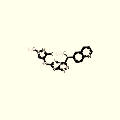 Cc1nn(C)cc1Nc1nn2c([C@@H](C)c3ccc4ncccc4c3)nnc2s1